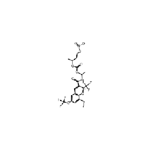 CCc1cc(OC(F)(F)F)cc2c1O[C@H](C(F)(F)F)C(C(=O)OC(C)OC(=O)OC(C)CCO[N+](=O)[O-])=C2